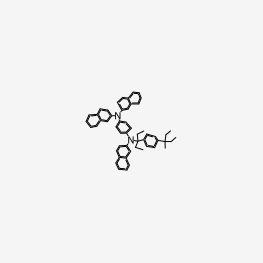 CCC(C)(CC)c1ccc(C(CC)(CC)N(c2ccc(N(c3ccc4ccccc4c3)c3ccc4ccccc4c3)cc2)c2ccc3ccccc3c2)cc1